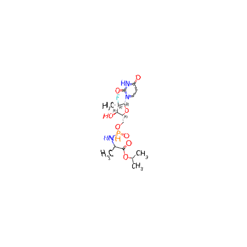 CC(C)OC(=O)C(C)N[PH](=O)OC[C@H]1O[C@@H](n2ccc(=O)[nH]c2=O)[C@](C)(F)[C@@H]1O